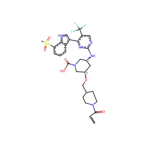 C=CC(=O)N1CCC(CO[C@@H]2C[C@H](Nc3ncc(C(F)(F)F)c(-c4c[nH]c5c(S(C)(=O)=O)cccc45)n3)CN(C(=O)O)C2)CC1